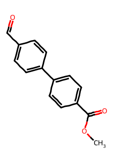 COC(=O)c1ccc(-c2ccc(C=O)cc2)cc1